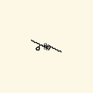 CCCCCCCCc1cnc(OC(=O)/C=C/C(CCCCCCC)c2ccccc2)nc1